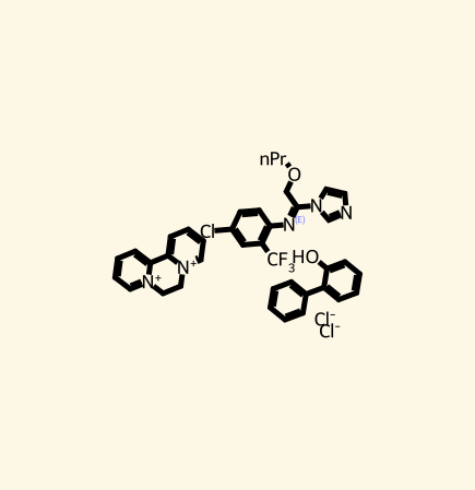 CCCOC/C(=N\c1ccc(Cl)cc1C(F)(F)F)n1ccnc1.Oc1ccccc1-c1ccccc1.[Cl-].[Cl-].c1cc[n+]2c(c1)-c1cccc[n+]1CC2